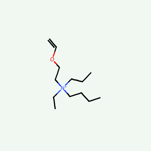 C=COCC[N+](CC)(CCC)CCCC